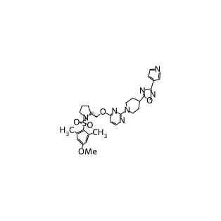 COc1cc(C)c(S(=O)(=O)N2CCC[C@H]2COc2ccnc(N3CCC(c4nc(-c5ccncc5)no4)CC3)n2)c(C)c1